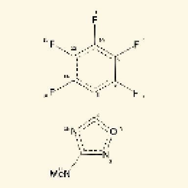 CNc1noc(-c2c(F)c(F)c(F)c(F)c2F)n1